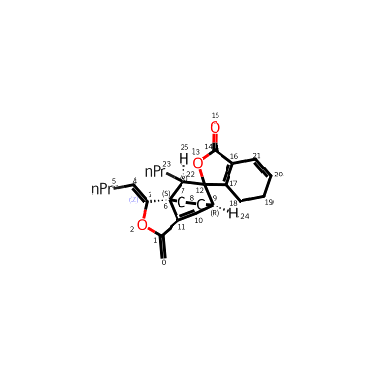 C=C1O/C(=C\CCC)[C@]23CC[C@H](C=C12)C1(OC(=O)C2=C1CCC=C2)[C@@H]3CCC